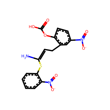 NC(=CCc1cc([N+](=O)[O-])ccc1OC(=O)O)Sc1ccccc1[N+](=O)[O-]